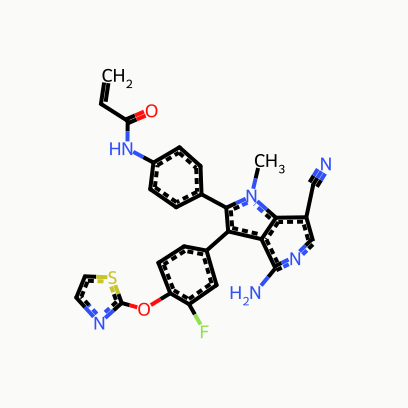 C=CC(=O)Nc1ccc(-c2c(-c3ccc(Oc4nccs4)c(F)c3)c3c(N)ncc(C#N)c3n2C)cc1